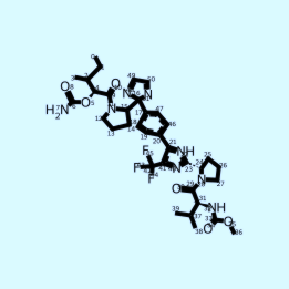 CCC(C)[C@H](OC(N)=O)C(=O)N1CCCC1C1(c2ccc(-c3[nH]c([C@@H]4CCCN4C(=O)[C@@H](NC(=O)OC)C(C)C)nc3C(F)(F)F)cc2)N=CC=N1